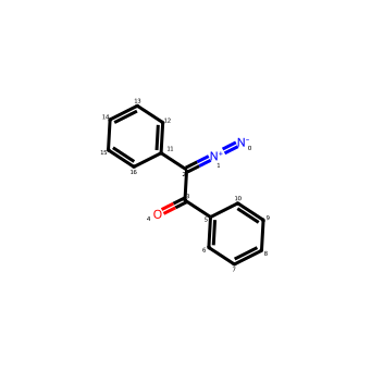 [N-]=[N+]=C(C(=O)c1ccccc1)c1ccccc1